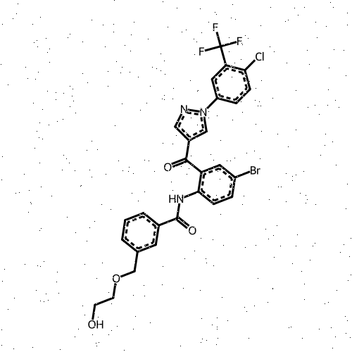 O=C(Nc1ccc(Br)cc1C(=O)c1cnn(-c2ccc(Cl)c(C(F)(F)F)c2)c1)c1cccc(COCCO)c1